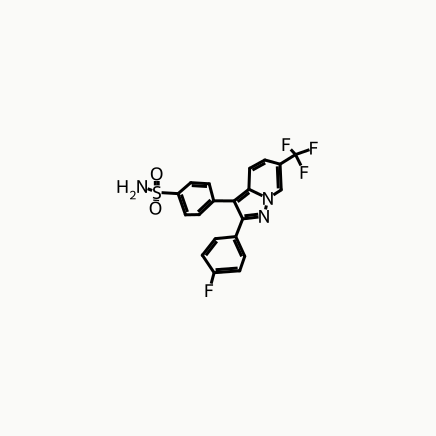 NS(=O)(=O)c1ccc(-c2c(-c3ccc(F)cc3)nn3cc(C(F)(F)F)ccc23)cc1